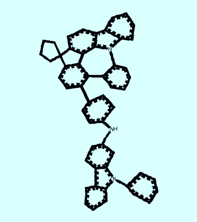 c1ccc(-n2c3ccccc3c3ccc(Nc4ccc(-c5ccc6c7c5-c5ccccc5-n5c8ccccc8c8ccc(c-7c85)C65CCCC5)cc4)cc32)cc1